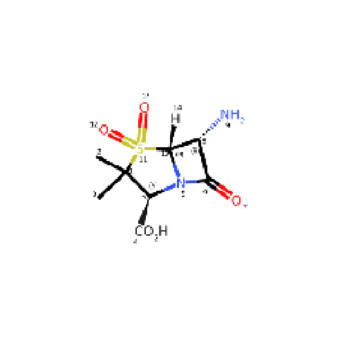 CC1(C)[C@H](C(=O)O)N2C(=O)[C@@H](N)[C@H]2S1(=O)=O